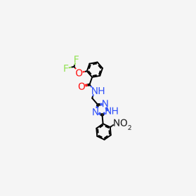 O=C(NCc1n[nH]c(-c2ccccc2[N+](=O)[O-])n1)c1ccccc1OC(F)F